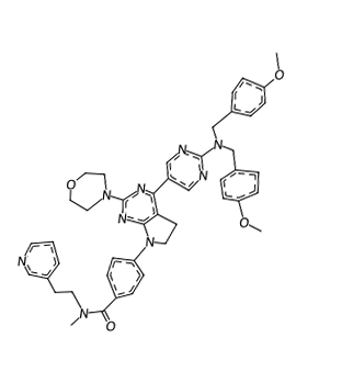 COc1ccc(CN(Cc2ccc(OC)cc2)c2ncc(-c3nc(N4CCOCC4)nc4c3CCN4c3ccc(C(=O)N(C)CCc4cccnc4)cc3)cn2)cc1